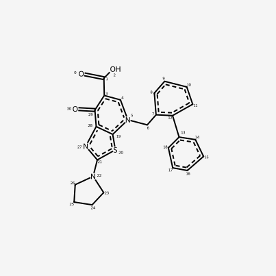 O=C(O)c1cn(Cc2ccccc2-c2ccccc2)c2sc(N3CCCC3)nc2c1=O